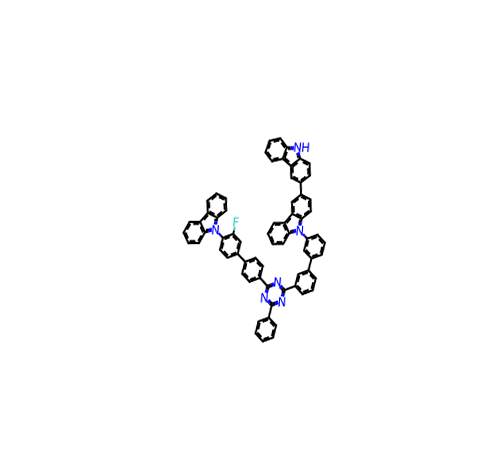 Fc1cc(-c2ccc(-c3nc(-c4ccccc4)nc(-c4cccc(-c5cccc(-n6c7ccccc7c7cc(-c8ccc9[nH]c%10ccccc%10c9c8)ccc76)c5)c4)n3)cc2)ccc1-n1c2ccccc2c2ccccc21